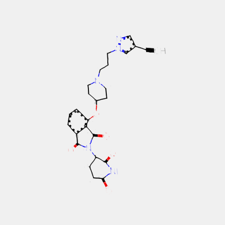 C#Cc1cnn(CCCN2CCC(Oc3cccc4c3C(=O)N(C3CCC(=O)NC3=O)C4=O)CC2)c1